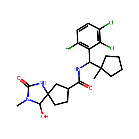 CN1C(=O)NC2(CCC(C(=O)NC(c3c(F)ccc(Cl)c3Cl)C3(C)CCCC3)C2)C1O